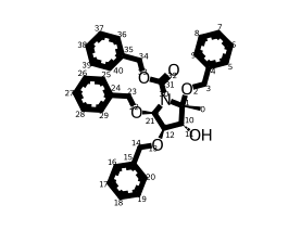 C[C@@]1(OCc2ccccc2)[C@H](O)[C@@H](OCc2ccccc2)[C@@H](OCc2ccccc2)N1C(=O)OCc1ccccc1